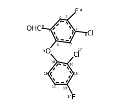 O=Cc1cc(F)c(Cl)cc1Oc1ccc(F)cc1Cl